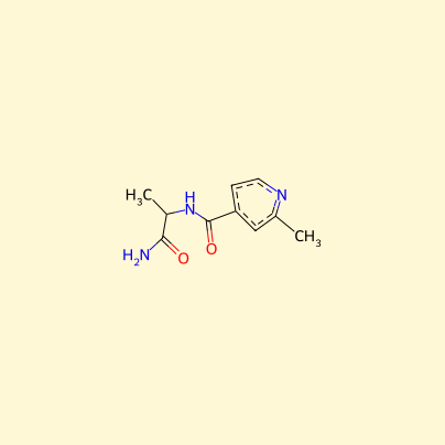 Cc1cc(C(=O)NC(C)C(N)=O)ccn1